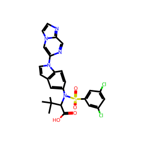 CC(C)(C)C(C(=O)O)N(c1ccc2c(ccn2-c2cn3ccnc3cn2)c1)S(=O)(=O)c1cc(Cl)cc(Cl)c1